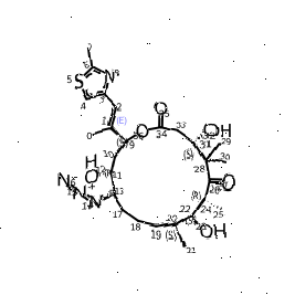 C/C(=C\c1csc(C)n1)[C@@H]1C[C@@H](O)[C@H](N=[N+]=[N-])CCC[C@H](C)[C@H](O)[C@@H](C)C(=O)C(C)(C)[C@@H](O)CC(=O)O1